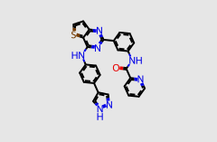 O=C(Nc1cccc(-c2nc(Nc3ccc(-c4cn[nH]c4)cc3)c3sccc3n2)c1)c1ccccn1